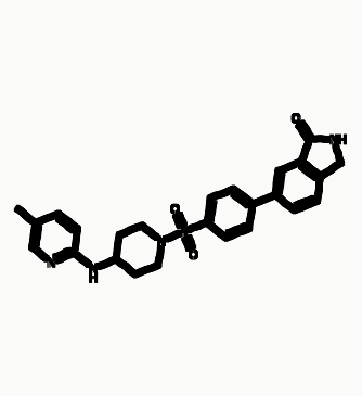 Cc1ccc(NC2CCN(S(=O)(=O)c3ccc(-c4ccc5c(c4)C(=O)NC5)cc3)CC2)nc1